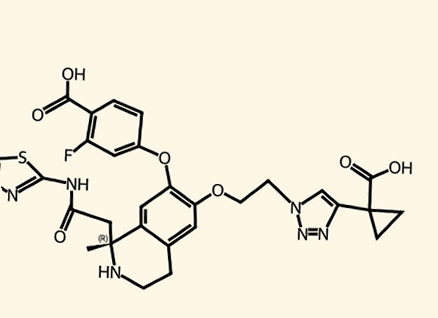 C[C@]1(CC(=O)Nc2nccs2)NCCc2cc(OCCn3cc(C4(C(=O)O)CC4)nn3)c(Oc3ccc(C(=O)O)c(F)c3)cc21